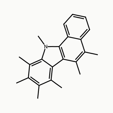 Cc1c(C)c(C)c2c(c1C)c1c(C)c(C)c3ccccc3c1n2C